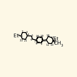 CCC1CCC(CCc2ccc(C3CCC(C)(CC)CC3)cc2)CC1